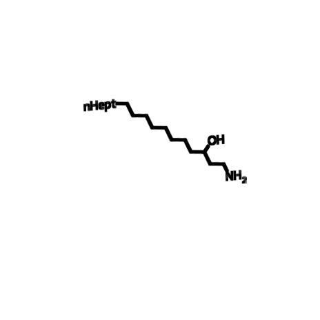 CCCCCCCCCCCCCCCC(O)CCN